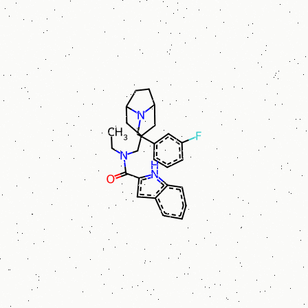 CCN(CC1CC2CCC(C1)N2Cc1cccc(F)c1)C(=O)c1cc2ccccc2[nH]1